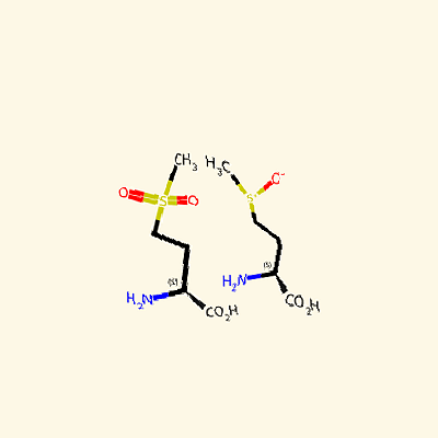 CS(=O)(=O)CC[C@H](N)C(=O)O.C[S+]([O-])CC[C@H](N)C(=O)O